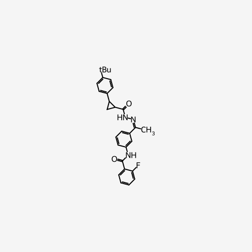 CC(=NNC(=O)C1CC1c1ccc(C(C)(C)C)cc1)c1cccc(NC(=O)c2ccccc2F)c1